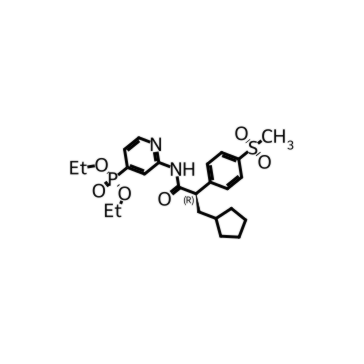 CCOP(=O)(OCC)c1ccnc(NC(=O)[C@H](CC2CCCC2)c2ccc(S(C)(=O)=O)cc2)c1